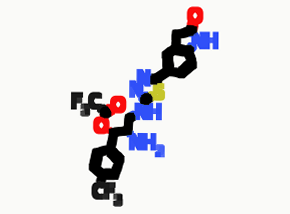 N[C@H](CNc1nnc(-c2ccc3c(c2)CC(=O)N3)s1)[C@@H](OC(=O)C(F)(F)F)c1ccc(C(F)(F)F)cc1